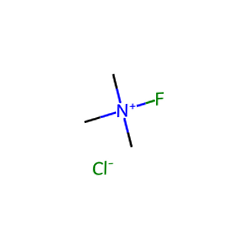 C[N+](C)(C)F.[Cl-]